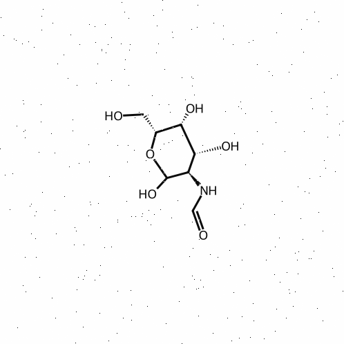 O=CN[C@H]1C(O)O[C@H](CO)[C@H](O)[C@@H]1O